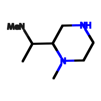 CNC(C)C1CNCCN1C